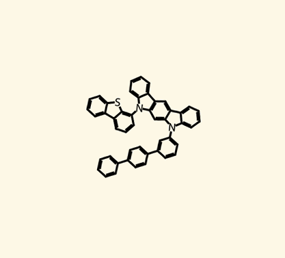 c1ccc(-c2ccc(-c3cccc(-n4c5ccccc5c5cc6c7ccccc7n(-c7cccc8c7sc7ccccc78)c6cc54)c3)cc2)cc1